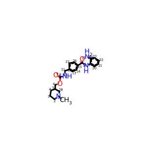 CN1CCCC(COC(=O)NCc2ccc(C(=O)Nc3ccccc3N)cc2)C1